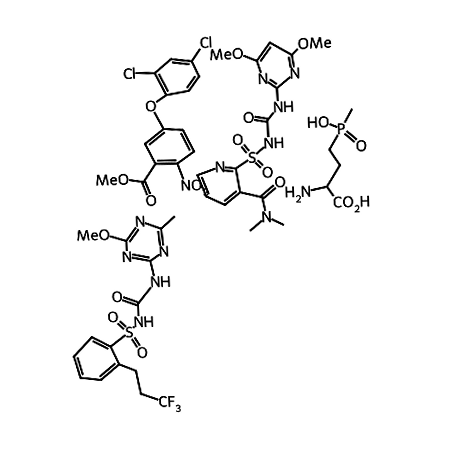 COC(=O)c1cc(Oc2ccc(Cl)cc2Cl)ccc1[N+](=O)[O-].COc1cc(OC)nc(NC(=O)NS(=O)(=O)c2ncccc2C(=O)N(C)C)n1.COc1nc(C)nc(NC(=O)NS(=O)(=O)c2ccccc2CCC(F)(F)F)n1.CP(=O)(O)CCC(N)C(=O)O